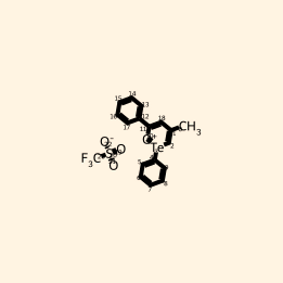 CC1=C[Te](c2ccccc2)=[O+]C(c2ccccc2)=C1.O=S(=O)([O-])C(F)(F)F